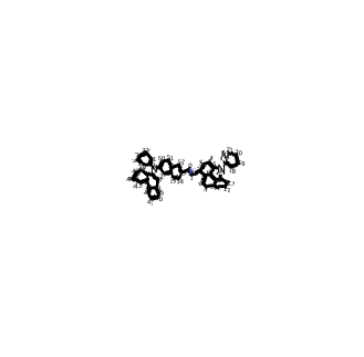 C(=C\c1ccc2c3c1ccc1cccc(c13)n2-c1ccccn1)/c1ccc2cc(N(c3ccccc3)c3cc4ccccc4c4ccccc34)ccc2c1